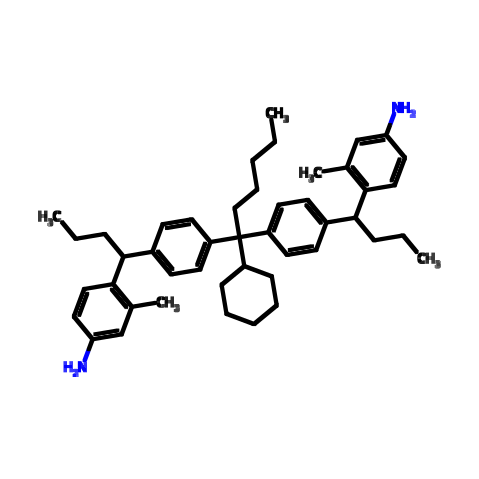 CCCCCC(c1ccc(C(CCC)c2ccc(N)cc2C)cc1)(c1ccc(C(CCC)c2ccc(N)cc2C)cc1)C1CCCCC1